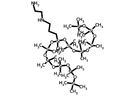 C[Si](C)(C)O[Si](C)(C)O[Si](C)(C)O[Si](C)(C)O[Si](C)(C)O[Si](C)(CCCNCCN)O[Si](C)(C)O[Si](C)(C)O[Si](C)(C)O[Si](C)(C)O[Si](C)(C)C